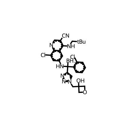 BC(Nc1cc(Cl)c2ncc(C#N)c(NCC(C)(C)C)c2c1)(c1cn(CC2(O)COC2)nn1)c1ccccc1Cl